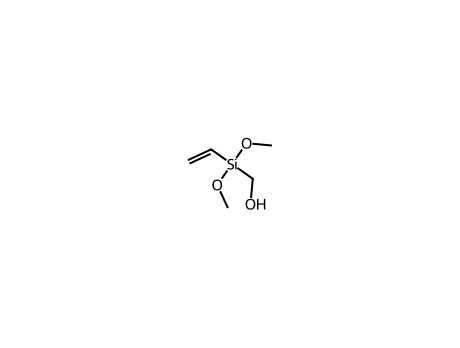 C=C[Si](CO)(OC)OC